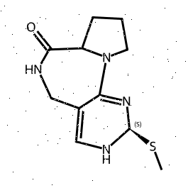 CS[C@@H]1N=C2C(=CN1)CNC(=O)C1CCCN21